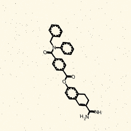 N=C(N)C1=Cc2ccc(OC(=O)c3ccc(C(=O)N(Cc4ccccc4)c4ccccc4)cc3)cc2CC1